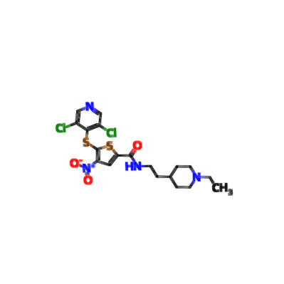 CCN1CCC(CCNC(=O)c2cc([N+](=O)[O-])c(Sc3c(Cl)cncc3Cl)s2)CC1